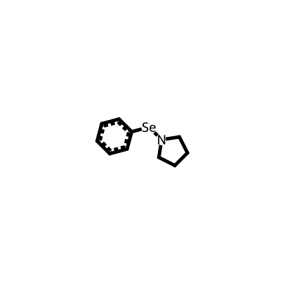 c1ccc([Se]N2CCCC2)cc1